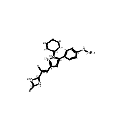 CCCCOc1ccc(-c2cc(/C=C(\C)C3OC(C)O3)nn2C2CCCCC2)cc1